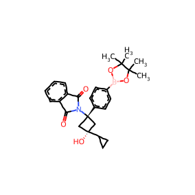 CC1(C)OB(c2ccc([C@]3(N4C(=O)c5ccccc5C4=O)C[C@](O)(C4CC4)C3)cc2)OC1(C)C